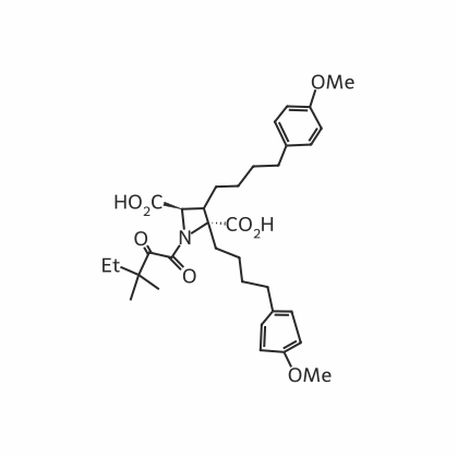 CCC(C)(C)C(=O)C(=O)N1[C@@H](C(=O)O)C(CCCCc2ccc(OC)cc2)[C@]1(CCCCc1ccc(OC)cc1)C(=O)O